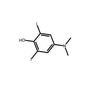 CN(C)c1cc(I)c(O)c(I)c1